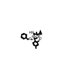 Cc1ccc([C@]2(COCc3ccccc3)CS(=O)(=O)C(C)(C3CC3)C(=N)N2)c(F)c1